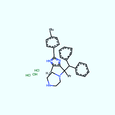 Cc1[nH]c(-c2ccc(C(C)(C)C)cc2)nc1C(C(C)C)(C(c1ccccc1)c1ccccc1)N1CCNCC1.Cl.Cl.Cl